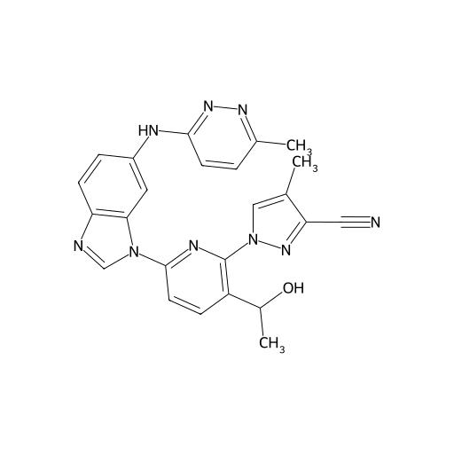 Cc1ccc(Nc2ccc3ncn(-c4ccc(C(C)O)c(-n5cc(C)c(C#N)n5)n4)c3c2)nn1